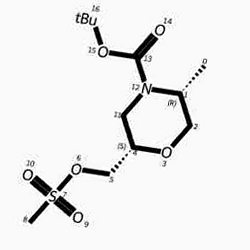 C[C@@H]1CO[C@H](COS(C)(=O)=O)CN1C(=O)OC(C)(C)C